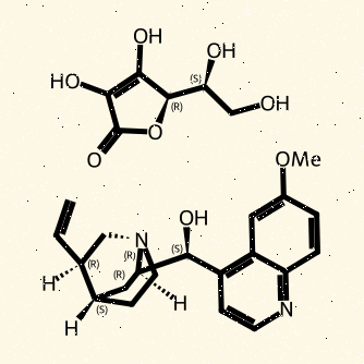 C=C[C@H]1C[N@]2CC[C@H]1C[C@@H]2[C@@H](O)c1ccnc2ccc(OC)cc12.O=C1O[C@H]([C@@H](O)CO)C(O)=C1O